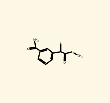 COC(=O)C(Cl)c1cccc(C(N)=O)c1